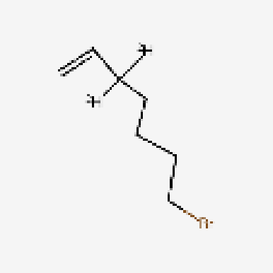 [2H]C([2H])(C=C)CCCCBr